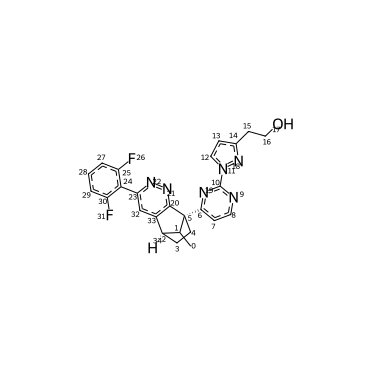 CC1[C@H]2CC[C@]1(c1ccnc(-n3ccc(CCO)n3)n1)c1nnc(-c3c(F)cccc3F)cc12